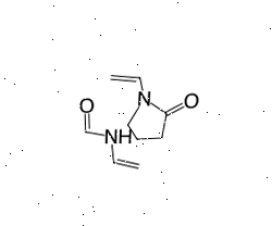 C=CN1CCCC1=O.C=CNC=O